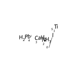 CI.N.[CaH2].[PbH2].[Ti]